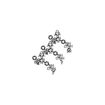 C[C@H]1COC[C@H](C)N1c1cc(C2(S(=O)(=O)c3ccccc3)CC2)nc(-c2ccc(NC(=O)NCC(F)F)cc2)n1.C[C@H]1COC[C@H](C)N1c1cc(C2(S(=O)(=O)c3ccccc3)CC2)nc(-c2ccc(NC(=O)NCCF)cc2)n1.C[C@H]1COC[C@H](C)N1c1cc(C2(S(=O)(=O)c3ccccc3)CC2)nc(-c2ccc(NC(=O)Nc3cnn(C)c3)cc2)n1